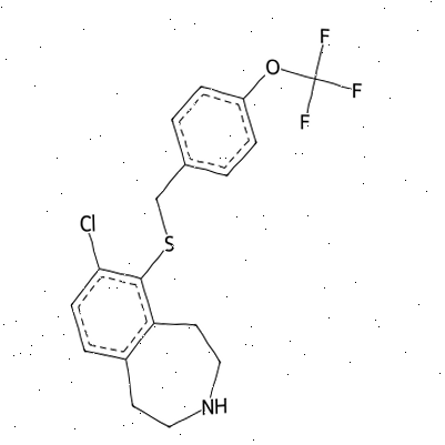 FC(F)(F)Oc1ccc(CSc2c(Cl)ccc3c2CCNCC3)cc1